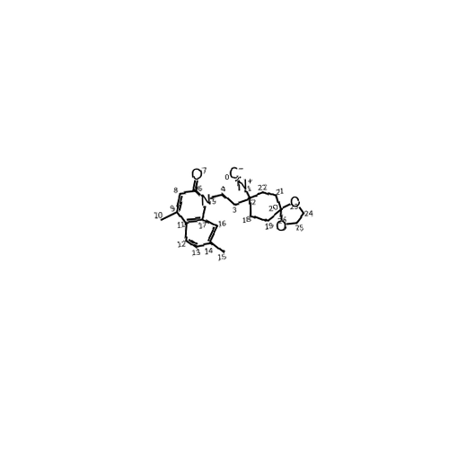 [C-]#[N+]C1(CCn2c(=O)cc(C)c3ccc(C)cc32)CCC2(CC1)OCCO2